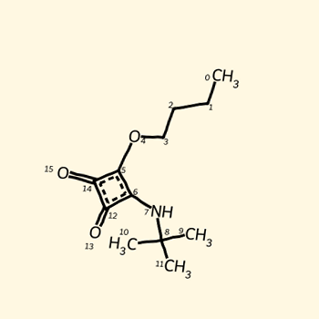 CCCCOc1c(NC(C)(C)C)c(=O)c1=O